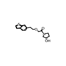 O=C(COCCc1ccc2ccsc2c1)N1CC[C@H](O)C1